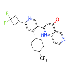 O=c1cc(-c2cnc(C3CC(F)(F)C3)cc2[C@H]2CC[C@@H](C(F)(F)F)CC2)[nH]c2ccncc12